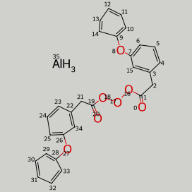 O=C(Cc1cccc(Oc2ccccc2)c1)OOOC(=O)Cc1cccc(Oc2ccccc2)c1.[AlH3]